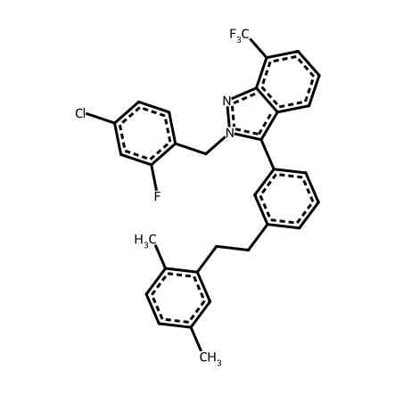 Cc1ccc(C)c(CCc2cccc(-c3c4cccc(C(F)(F)F)c4nn3Cc3ccc(Cl)cc3F)c2)c1